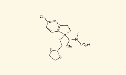 CN(C(=O)O)C(C(C)(C)C)C1(CCC2OCCO2)CCc2cc(Cl)ccc21